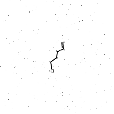 C=CC[CH]CCl